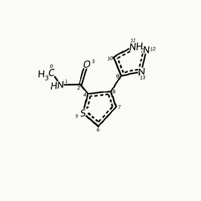 CNC(=O)c1sccc1-c1c[nH]nn1